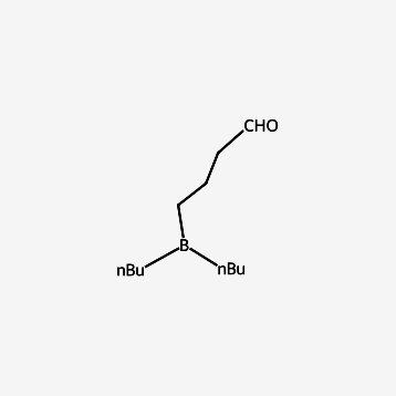 CCCCB(CCCC)CCCC=O